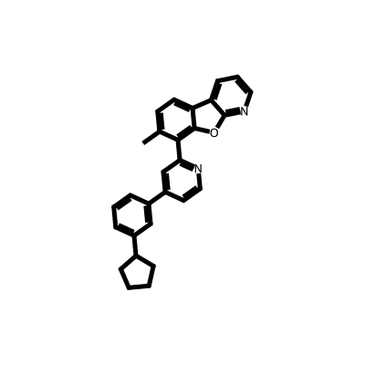 Cc1ccc2c(oc3ncccc32)c1-c1cc(-c2cccc(C3CCCC3)c2)ccn1